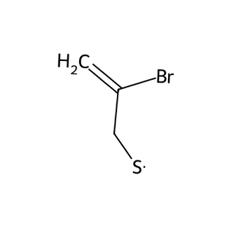 C=C(Br)C[S]